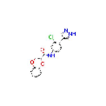 O=C(Nc1ccc(-c2cn[nH]c2)c(Cl)c1)C1COc2ccccc2O1